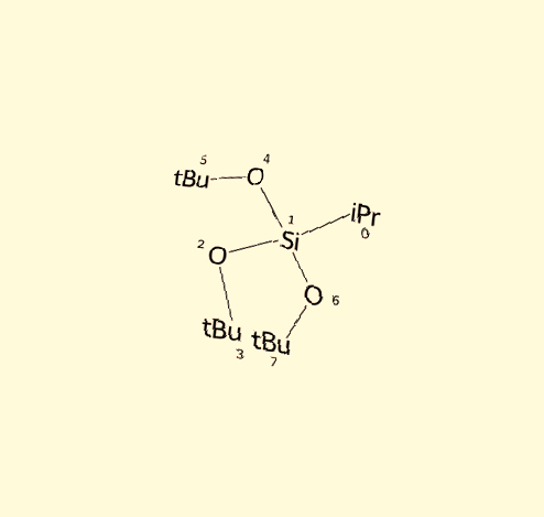 CC(C)[Si](OC(C)(C)C)(OC(C)(C)C)OC(C)(C)C